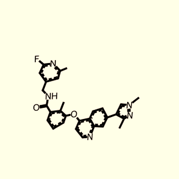 Cc1cc(CNC(=O)c2cccc(Oc3ccnc4cc(-c5cn(C)nc5C)ccc34)c2C)cc(F)n1